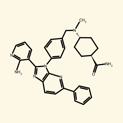 CN(Cc1ccc(-n2c(-c3cccnc3N)nc3ccc(-c4ccccc4)nc32)cc1)[C@H]1CC[C@H](C(N)=O)CC1